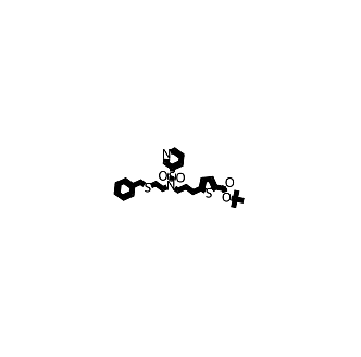 CC(C)(C)OC(=O)c1ccc(CCCN(CCSCc2ccccc2)S(=O)(=O)c2cccnc2)s1